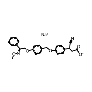 CON=C(COc1ccc(COc2ccc(C(C#N)CC(=O)[O-])cc2)cc1)c1ccccc1.[Na+]